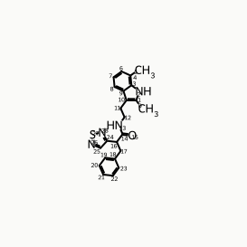 Cc1[nH]c2c(C)cccc2c1CCNC(=O)C(Cc1ccccc1)c1cnsn1